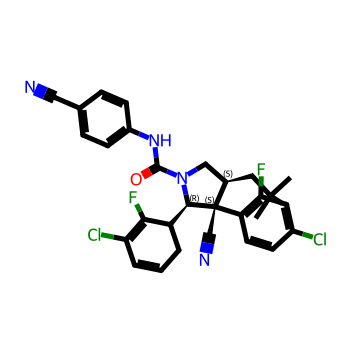 CC(C)(C)C[C@@H]1CN(C(=O)Nc2ccc(C#N)cc2)[C@H](C2CC=CC(Cl)=C2F)[C@@]1(C#N)c1ccc(Cl)cc1F